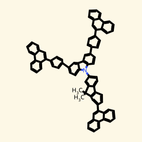 CC1(C)c2cc(-c3cc4ccccc4c4ccccc34)ccc2-c2ccc(-n3c4ccc(-c5ccc(-c6cc7ccccc7c7ccccc67)cc5)cc4c4cc(-c5ccc(-c6cc7ccccc7c7ccccc67)cc5)ccc43)cc21